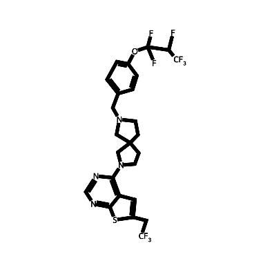 FC(C(F)(F)F)C(F)(F)Oc1ccc(CN2CCC3(CCN(c4ncnc5sc(CC(F)(F)F)cc45)C3)C2)cc1